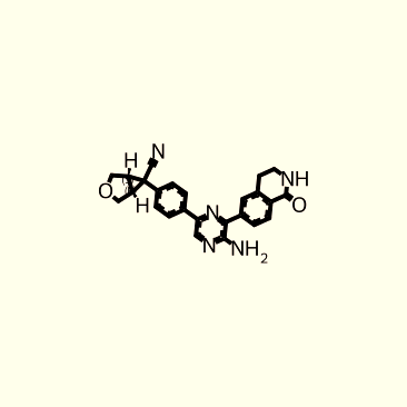 N#CC1(c2ccc(-c3cnc(N)c(-c4ccc5c(c4)CCNC5=O)n3)cc2)[C@@H]2COC[C@@H]21